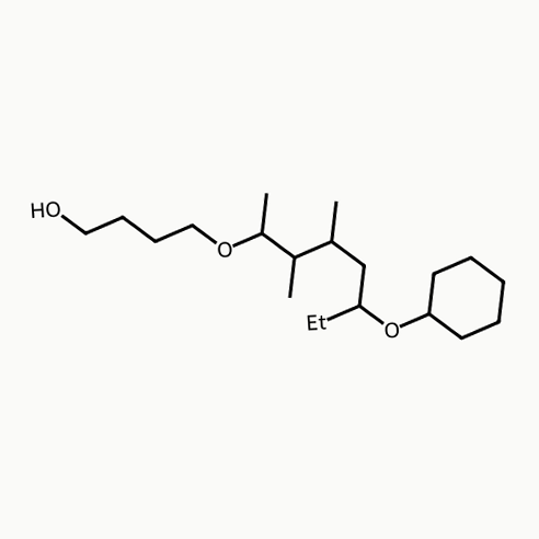 CCC(CC(C)C(C)C(C)OCCCCO)OC1CCCCC1